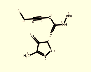 CC1=NSCC1=O.CCCCNC(=O)OC#CCI